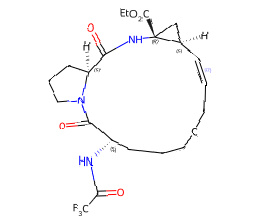 CCOC(=O)[C@@]12C[C@H]1/C=C\CCCCC[C@H](NC(=O)C(F)(F)F)C(=O)N1CCC[C@H]1C(=O)N2